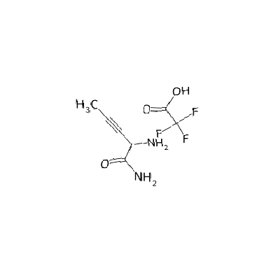 CC#CC(N)C(N)=O.O=C(O)C(F)(F)F